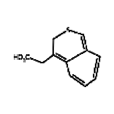 O=C(O)CC1=c2ccccc2=CSC1